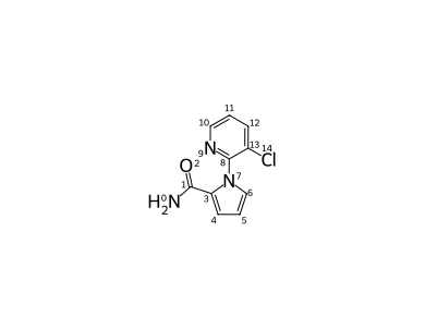 NC(=O)c1cccn1-c1ncccc1Cl